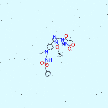 CCCN(Cc1ncc(-c2ccc(N(CCC)CCNC(=O)OCc3ccccc3)cc2)n1COCC[Si](C)(C)C)C(=O)[C@@H](NC(=O)OC)C(C)C